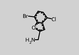 NCc1cc2c(Cl)ccc(Br)c2o1